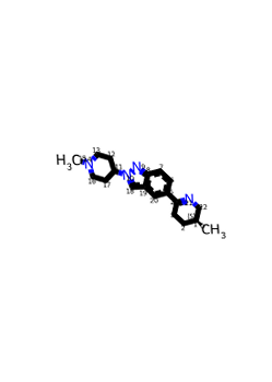 C[C@H]1CCC(c2ccc3nn(C4CCN(C)CC4)cc3c2)=NC1